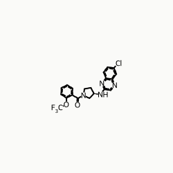 O=C(c1ccccc1OC(F)(F)F)N1CC[C@@H](Nc2cnc3cc(Cl)ccc3n2)C1